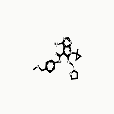 COCc1ccc(NC(=O)c2c(OC[C@@H]3CCCO3)n(C3(C)CC3)c3ncnc(N)c23)cc1